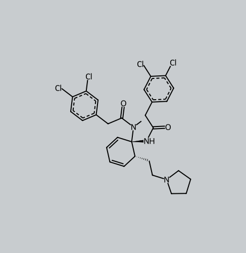 CN(C(=O)Cc1ccc(Cl)c(Cl)c1)[C@@]1(NC(=O)Cc2ccc(Cl)c(Cl)c2)C=CC=C[C@H]1CCN1CCCC1